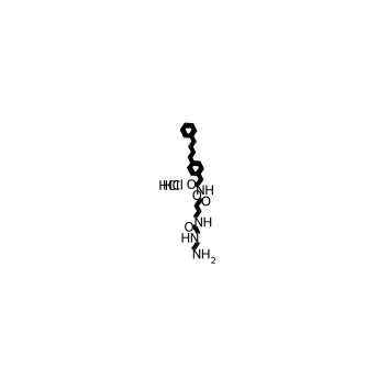 Cl.Cl.NCCNCC(=O)NCCCC(=O)ONC(=O)Cc1ccc(CCCCc2ccccc2)cc1